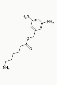 NCCCCCC(=O)OCc1cc(N)cc(N)c1